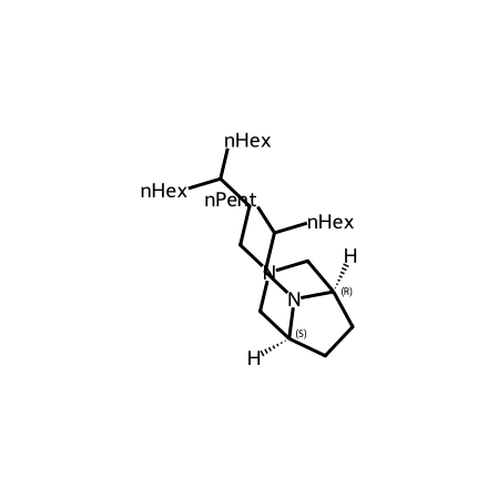 CCCCCCC(CCCCCC)CCN1C[C@H]2CC[C@@H](C1)N2CC(CCCCC)CCCCCC